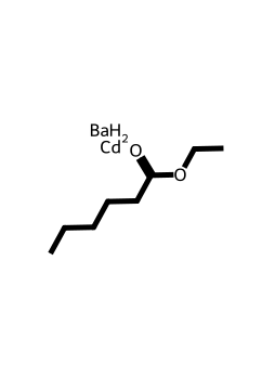 CCCCCC(=O)OCC.[BaH2].[Cd]